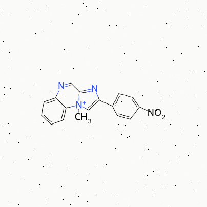 C[N+]12C=C(c3ccc([N+](=O)[O-])cc3)N=C1C=Nc1ccccc12